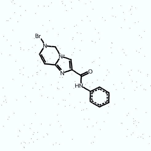 O=C(Nc1ccccc1)C1=C[N+]2CN(Br)C=CC2=N1